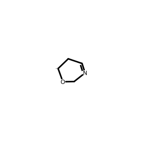 [CH]1CC=NCO1